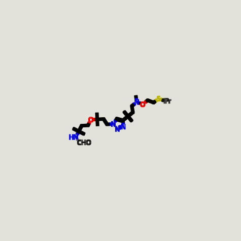 CC(C)SCCON(C)CCC(C)(C)c1cn(CCC(C)(C)OCCC(C)(C)NC=O)nn1